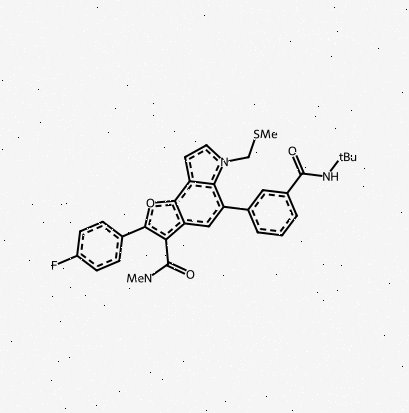 CNC(=O)c1c(-c2ccc(F)cc2)oc2c1cc(-c1cccc(C(=O)NC(C)(C)C)c1)c1c2ccn1CSC